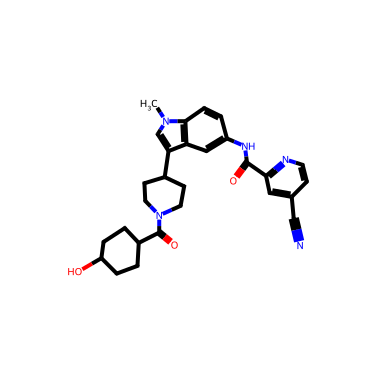 Cn1cc(C2CCN(C(=O)C3CCC(O)CC3)CC2)c2cc(NC(=O)c3cc(C#N)ccn3)ccc21